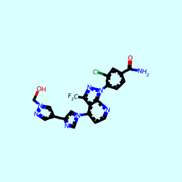 NC(=O)c1ccc(-n2nc(C(F)(F)F)c3c(-n4cnc(-c5cnn(CO)c5)c4)ccnc32)c(Cl)c1